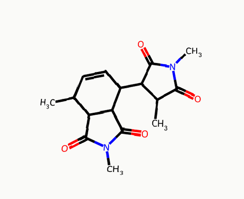 CC1C=CC(C2C(=O)N(C)C(=O)C2C)C2C(=O)N(C)C(=O)C12